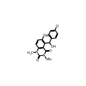 CCCCn1c(=O)c2c(C(O)c3ccc(Cl)cc3)c(OC)ccc2n(C)c1=O